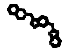 c1ccc2c(c1)CCN(Cc1coc3cc(Oc4nc5ncccc5s4)ccc13)C2